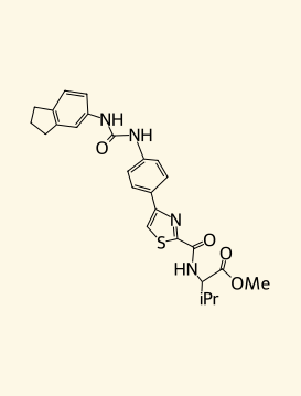 COC(=O)C(NC(=O)c1nc(-c2ccc(NC(=O)Nc3ccc4c(c3)CCC4)cc2)cs1)C(C)C